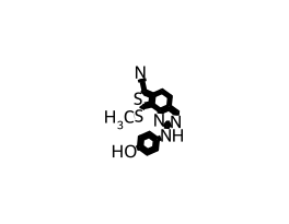 CSc1sc(C#N)c2c1-c1nc(Nc3ccc(O)cc3)ncc1CC2